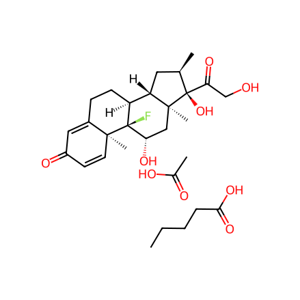 CC(=O)O.CCCCC(=O)O.C[C@@H]1C[C@H]2[C@@H]3CCC4=CC(=O)C=C[C@]4(C)[C@@]3(F)[C@@H](O)C[C@]2(C)[C@@]1(O)C(=O)CO